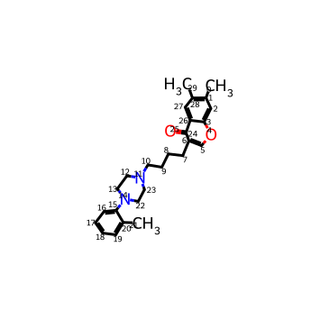 Cc1cc2occ(CCCCN3CCN(c4ccccc4C)CC3)c(=O)c2cc1C